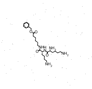 NCCCC[C@H](NC(=O)[C@@H](N)CCCCN)C(=O)NCCCCCC(=O)OCc1ccccc1